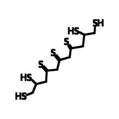 S=C(CC(=S)CC(S)CS)CC(=S)CC(S)CS